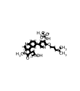 CN(C)CCCOc1ncc(-c2ccc3ncc4c(c3c2)[C@]2(C[C@@H](O)C2)C(=O)N4C)cc1NS(C)(=O)=O